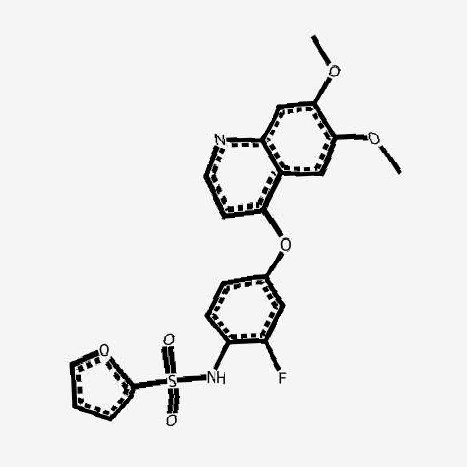 COc1cc2nccc(Oc3ccc(NS(=O)(=O)c4ccco4)c(F)c3)c2cc1OC